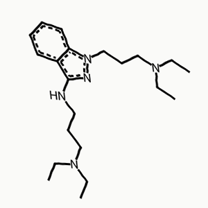 CCN(CC)CCCNc1nn(CCCN(CC)CC)c2ccccc12